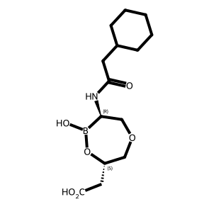 O=C(O)C[C@H]1COC[C@H](NC(=O)CC2CCCCC2)B(O)O1